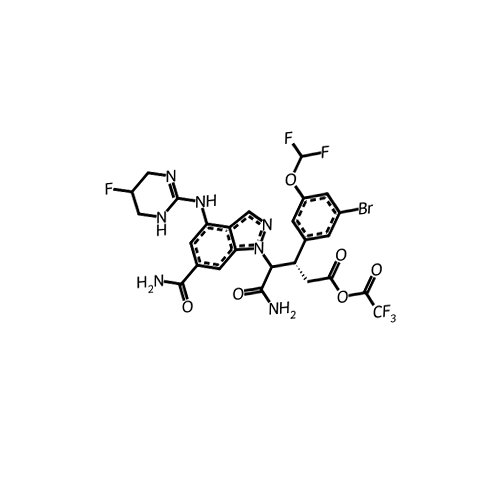 NC(=O)c1cc(NC2=NCC(F)CN2)c2cnn(C(C(N)=O)[C@@H](CC(=O)OC(=O)C(F)(F)F)c3cc(Br)cc(OC(F)F)c3)c2c1